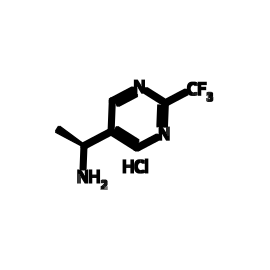 C[C@H](N)c1cnc(C(F)(F)F)nc1.Cl